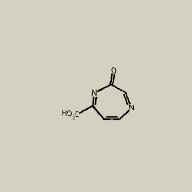 O=C(O)c1ccncc(=O)n1